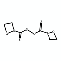 S=C(SSC(=S)N1CCO1)N1CCO1